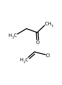 C=CCl.CCC(C)=O